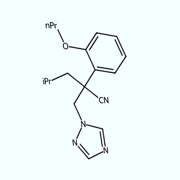 CCCOc1ccccc1C(C#N)(CC(C)C)Cn1cncn1